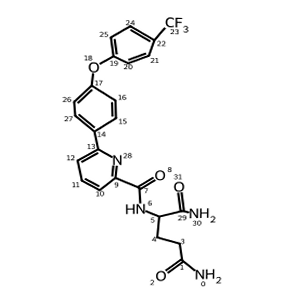 NC(=O)CCC(NC(=O)c1cccc(-c2ccc(Oc3ccc(C(F)(F)F)cc3)cc2)n1)C(N)=O